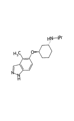 Cc1c(O[C@@H]2CCC[C@@H](NC(C)C)C2)ccc2[nH]ncc12